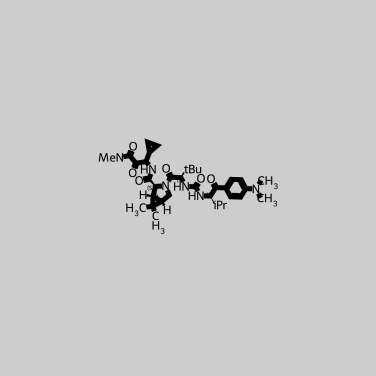 CNC(=O)C(=O)C(NC(=O)[C@@H]1[C@@H]2[C@H](CN1C(=O)[C@@H](NC(=O)N[C@H](C(=O)c1ccc(N(C)C)cc1)C(C)C)C(C)(C)C)C2(C)C)C1CC1